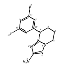 Nc1nc2n(n1)CCCN2c1cc(F)cc(F)c1